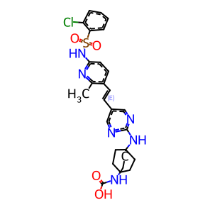 Cc1nc(NS(=O)(=O)c2ccccc2Cl)ccc1/C=C/c1cnc(NC23CCC(NC(=O)O)(CC2)CC3)nc1